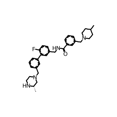 CC1CCN(Cc2cccc(C(=O)NCc3ccc(F)c(-c4cccc(CN5CCN[C@@H](C)C5)c4)c3)c2)CC1